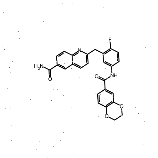 NC(=O)c1ccc2nc(Cc3cc(NC(=O)c4ccc5c(c4)OCCO5)ccc3F)ccc2c1